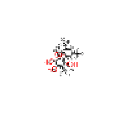 CC(C)(C)c1cc(-c2c(O)c(O)c(O)c(C(C)(C)C)c2O)c(C(C)(C)C)c(C(C)(C)C)c1